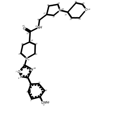 COc1ccc(-c2noc(N3CCC(C(=O)NCC4CCN(C5CCOCC5)C4)CC3)n2)cc1